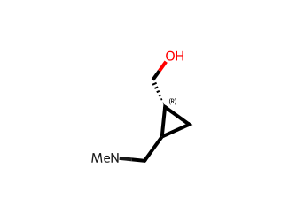 CNCC1C[C@H]1CO